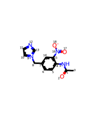 CC(=O)Nc1ccc(Cn2ccnc2)cc1[N+](=O)[O-]